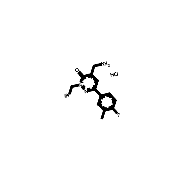 Cc1cc(-c2cc(CN)c(=O)n(CC(C)C)n2)ccc1F.Cl